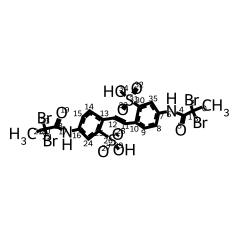 CC(Br)(Br)C(=O)Nc1ccc(C=Cc2ccc(NC(=O)C(C)(Br)Br)cc2S(=O)(=O)O)c(S(=O)(=O)O)c1